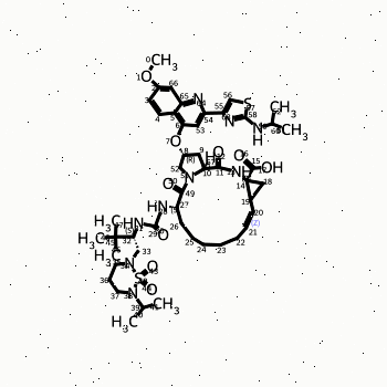 COc1ccc2c(O[C@@H]3C[C@H]4C(=O)N[C@]5(C(=O)O)CC5/C=C\CCCCC[C@H](NC(=O)N[C@H](CN5CCCN(C(C)C)S5(=O)=O)C(C)(C)C)C(=O)N4C3)cc(-c3csc(NC(C)C)n3)nc2c1